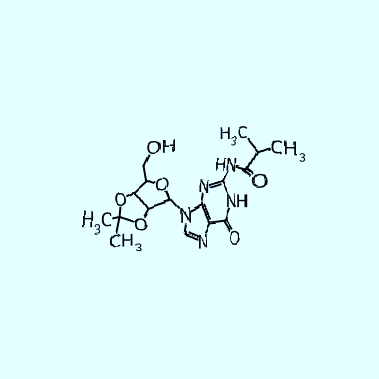 CC(C)C(=O)Nc1nc2c(ncn2C2OC(CO)C3OC(C)(C)OC32)c(=O)[nH]1